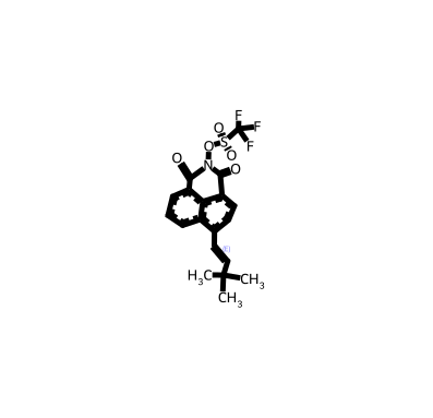 CC(C)(C)/C=C/c1ccc2c3c(cccc13)C(=O)N(OS(=O)(=O)C(F)(F)F)C2=O